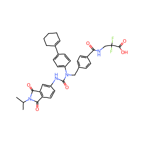 CC(C)N1C(=O)c2ccc(NC(=O)N(Cc3ccc(C(=O)NCC(F)(F)C(=O)O)cc3)c3ccc(C4=CCCCC4)cc3)cc2C1=O